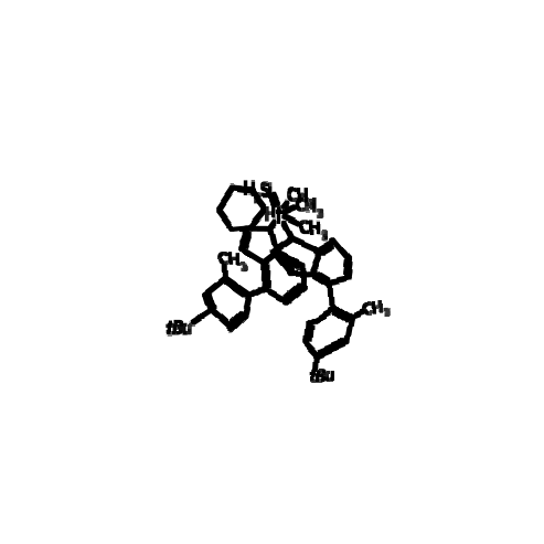 Cc1cc(C(C)(C)C)ccc1-c1cccc2c1C=C[CH]2[Hf]([CH3])([CH3])([CH3])(=[SiH2])([CH]1CCCCC1)[CH]1C=Cc2c(-c3ccc(C(C)(C)C)cc3C)cccc21